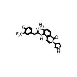 Cc1ccc2c(=O)n(C3CCNC3)ccc2c1NC(=O)Cc1ccc(F)c(C(F)(F)F)c1